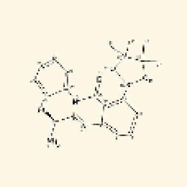 CC[C@H](N)c1nc2cccc(B3OC(C)(C)C(C)(C)O3)c2c(=O)n1-c1ccccc1